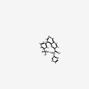 O=C(Nc1cnccn1)c1ccc2cncc(-c3cccc(C(F)(F)F)c3)c2n1